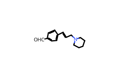 O=Cc1ccc(C=CCN2CCCCC2)cc1